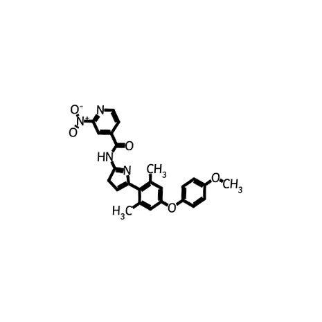 COc1ccc(Oc2cc(C)c(C3=CCC(NC(=O)c4ccnc([N+](=O)[O-])c4)=N3)c(C)c2)cc1